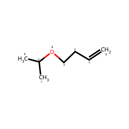 C=CCCO[C](C)C